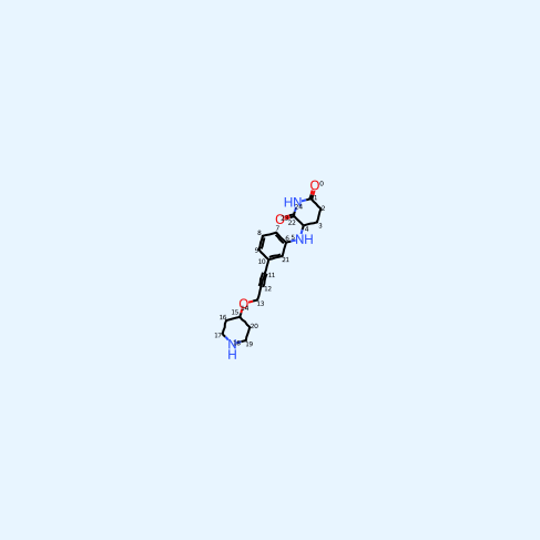 O=C1CCC(Nc2cccc(C#CCOC3CCNCC3)c2)C(=O)N1